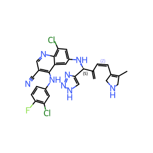 C=C(/C=C\C1=C(C)CNC1)[C@H](Nc1cc(Cl)c2ncc(C#N)c(Nc3ccc(F)c(Cl)c3)c2c1)c1c[nH]nn1